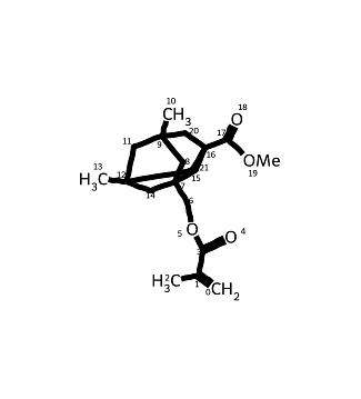 C=C(C)C(=O)OCC12CC3(C)CC(C)(C1)CC(C(=O)OC)(C3)C2